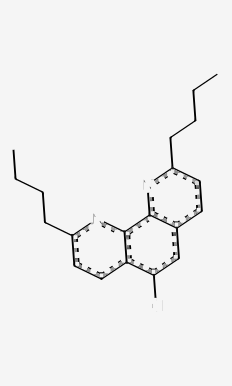 CCCCc1ccc2cc(Cl)c3ccc(CCCC)nc3c2n1